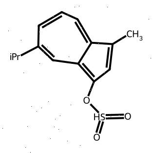 Cc1cc(O[SH](=O)=O)c2cc(C(C)C)cccc1-2